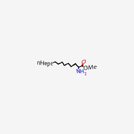 CCCCCCCCCCCCCCC(N)C(=O)OC